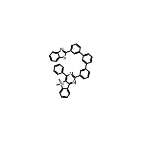 C[Si]1(C)c2ccccc2-c2nc(-c3cccc(-c4cccc(-c5cccc(-c6nc7ccccc7s6)c5)c4)c3)nc(-c3ccccc3)c21